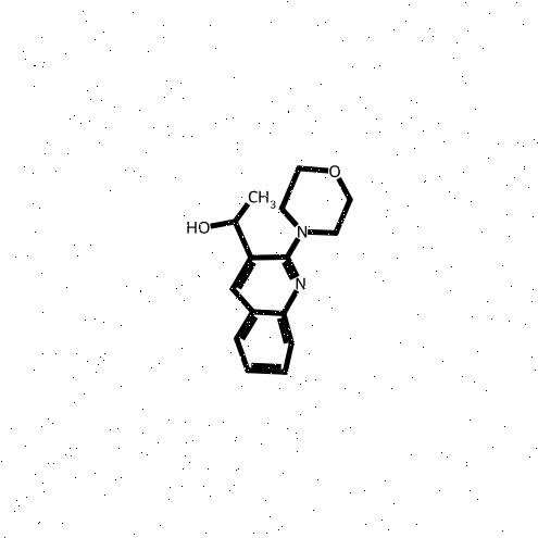 CC(O)c1cc2ccccc2nc1N1CCOCC1